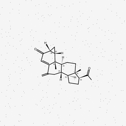 C=C1C[C@H]2[C@@H]3CC[C@H](C(C)=O)[C@@]3(C)CC[C@@H]2[C@]2(C)C1=CC(=O)[C@@H]1C[C@@H]12